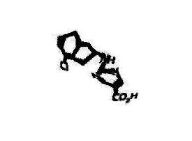 O=C(O)c1cnc(NC2Cc3cccc(Cl)c3C2)nc1